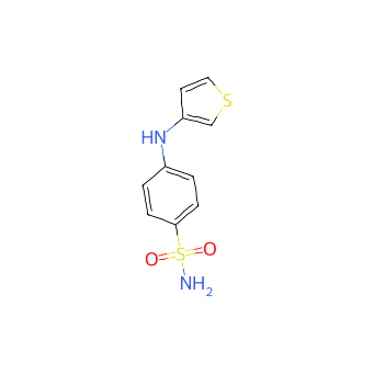 NS(=O)(=O)c1ccc(Nc2ccsc2)cc1